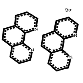 [Ba].c1cnc2c(c1)ccc1cccnc12.c1cnc2c(c1)ccc1cccnc12